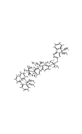 CC(C)(Cc1ccc2c(c1)C(N)(N)c1ccccc1-2)c1ccc2c(c1)C(N)(N)c1cc(C(C)(C)Cc3cc4c5c(cccc5c3)-c3ccccc3C4(N)N)ccc1-2